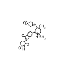 Cc1ccn(C)[nH]c(-c2ccc3c(c2)CN(C2CCC(=O)NC2=O)C3=O)cc1CN1CCC2(CC1)COC2